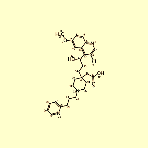 COc1ccc2ncc(Cl)c([C@@H](O)CCC3(CC(=O)O)CCN(CCCc4ccccn4)CC3)c2c1